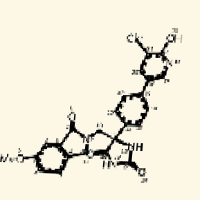 COc1ccc2c(c1)C(=O)N(C[C@@]1(c3ccc(-c4cnc(O)c(Cl)c4)cc3)NC(=O)NC1=O)C2